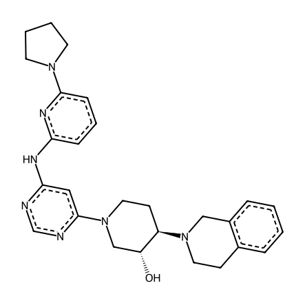 O[C@@H]1CN(c2cc(Nc3cccc(N4CCCC4)n3)ncn2)CC[C@H]1N1CCc2ccccc2C1